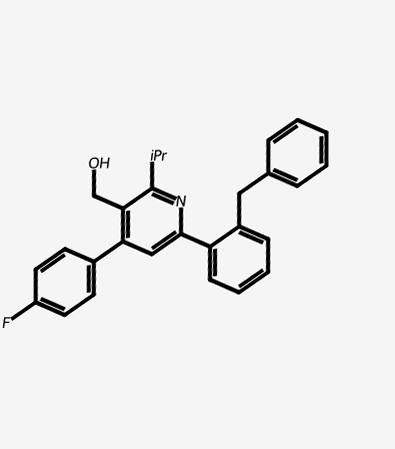 CC(C)c1nc(-c2ccccc2Cc2ccccc2)cc(-c2ccc(F)cc2)c1CO